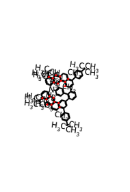 CC1=CC(C)=C(B2c3cc(C(C)(C)C)ccc3N3c4ccc(C(C)(C)C)cc4B(c4ccc(C)cc4C)c4cc(-c5c(-c6cc(-c7ccc(C(C)(C)C)cc7)cc(-c7ccc(C(C)(C)C)cc7)c6)cccc5-c5cc(-c6ccc(C(C)(C)C)cc6)cc(-c6ccc(C(C)(C)C)cc6)c5)cc2c43)C(C)C1